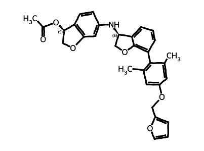 CC(=O)O[C@@H]1COc2cc(N[C@@H]3COc4c(-c5c(C)cc(OCc6ccco6)cc5C)cccc43)ccc21